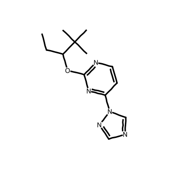 CCC(Oc1nccc(-n2cncn2)n1)C(C)(C)C